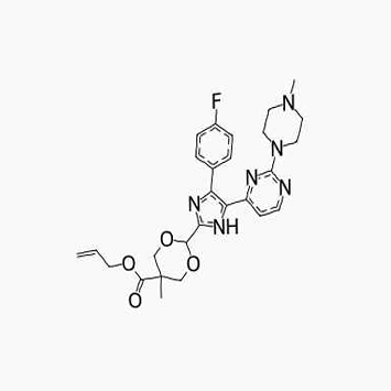 C=CCOC(=O)C1(C)COC(c2nc(-c3ccc(F)cc3)c(-c3ccnc(N4CCN(C)CC4)n3)[nH]2)OC1